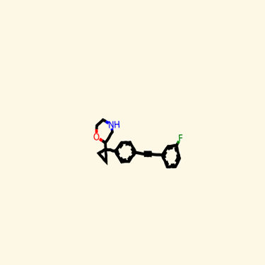 Fc1cccc(C#Cc2ccc(C3(C4CNCCO4)CC3)cc2)c1